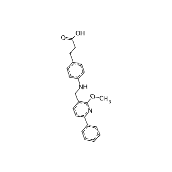 COc1nc(-c2ccccc2)ccc1CNc1ccc(CCC(=O)O)cc1